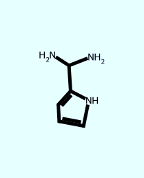 NC(N)c1ccc[nH]1